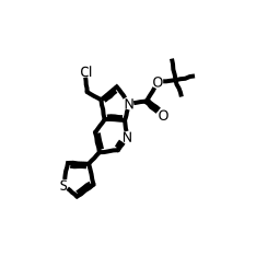 CC(C)(C)OC(=O)n1cc(CCl)c2cc(-c3ccsc3)cnc21